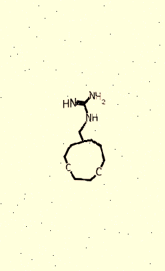 N=C(N)NCC1CCCCCCCCC1